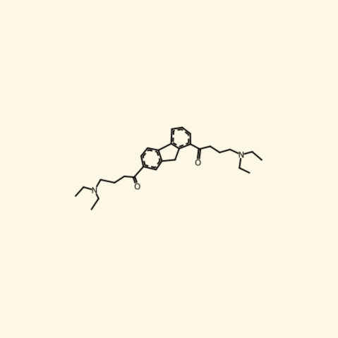 CCN(CC)CCCC(=O)c1ccc2c(c1)Cc1c(C(=O)CCCN(CC)CC)cccc1-2